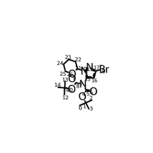 CC(C)(C)OC(=O)N(C(=O)OC(C)(C)C)c1cc(Br)nn1C1CCCCO1